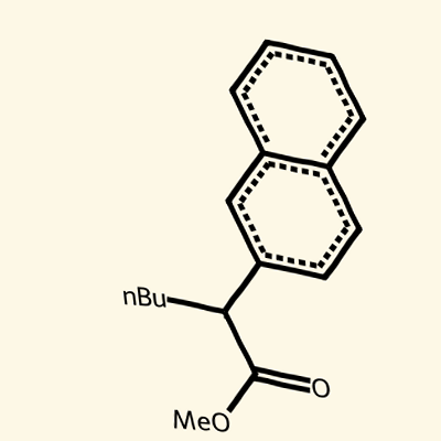 CCCC[C](C(=O)OC)c1ccc2ccccc2c1